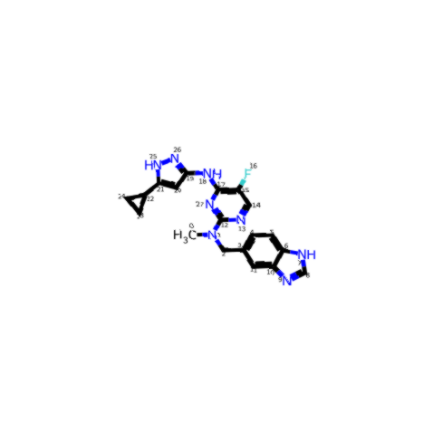 CN(Cc1ccc2[nH]cnc2c1)c1ncc(F)c(Nc2cc(C3CC3)[nH]n2)n1